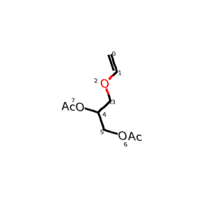 C=CO[CH]C(COC(C)=O)OC(C)=O